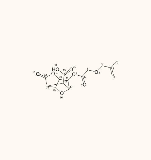 C=C(C)COCC(=O)OC1C2OC(=O)C3C2OC1C3C(=O)O